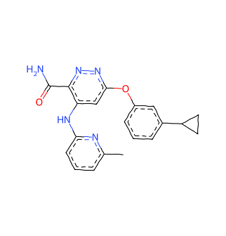 Cc1cccc(Nc2cc(Oc3cccc(C4CC4)c3)nnc2C(N)=O)n1